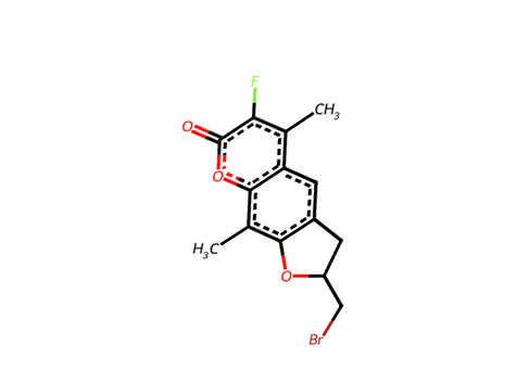 Cc1c(F)c(=O)oc2c(C)c3c(cc12)CC(CBr)O3